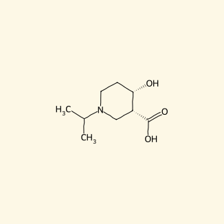 CC(C)N1CC[C@H](O)[C@H](C(=O)O)C1